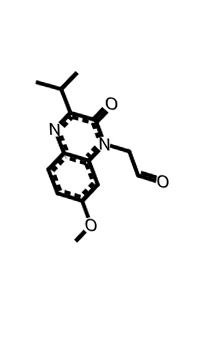 COc1ccc2nc(C(C)C)c(=O)n(CC=O)c2c1